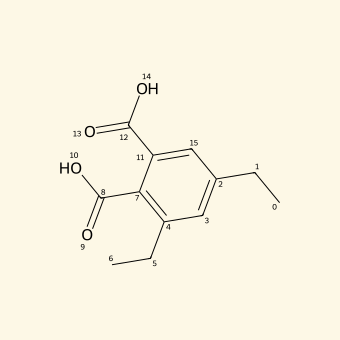 CCc1cc(CC)c(C(=O)O)c(C(=O)O)c1